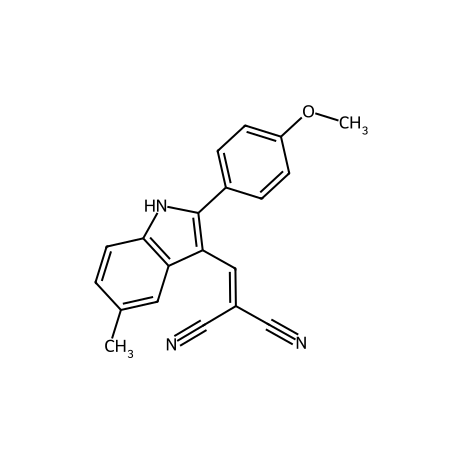 COc1ccc(-c2[nH]c3ccc(C)cc3c2C=C(C#N)C#N)cc1